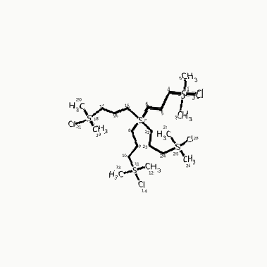 CS(C)(Cl)CCCS(CCCS(C)(C)Cl)(CCCS(C)(C)Cl)CCCS(C)(C)Cl